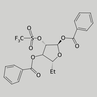 CC[C@H]1O[C@H](OC(=O)c2ccccc2)[C@@H](OS(=O)(=O)C(F)(F)F)C1OC(=O)c1ccccc1